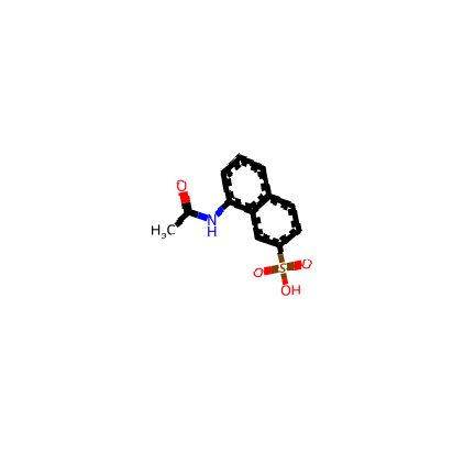 CC(=O)Nc1cccc2ccc(S(=O)(=O)O)cc12